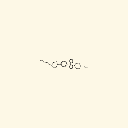 CCCCCC1CCC(c2ccc(C(=O)OC3CCC(CCC)CC3)cc2)CC1